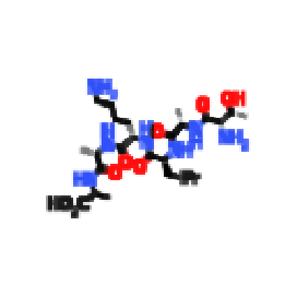 CC(C)C[C@H](NC(=O)[C@H](C)NC(=O)[C@@H](N)[C@@H](C)O)C(=O)N[C@@H](CCCCN)C(=O)N[C@@H](C)C(=O)N[C@@H](C)C(=O)O